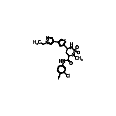 CCn1cc(-c2csc(C3CC(C(=O)Nc4ccc(F)c(Cl)c4)N(C)S(=O)(=O)N3)c2)cn1